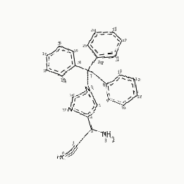 C#CC(N)c1cn(C(c2ccccc2)(c2ccccc2)c2ccccc2)cn1